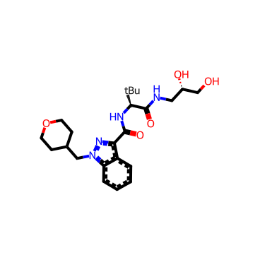 CC(C)(C)[C@H](NC(=O)c1nn(CC2CCOCC2)c2ccccc12)C(=O)NC[C@H](O)CO